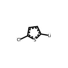 [Li][c]1ccc(Cl)s1